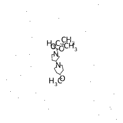 COC1CCN([C@@H]2CCN(C(=O)OC(C)(C)C)C2)CC1